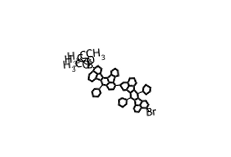 CC1(C)OB(c2ccc3c4c2cccc4c2c(-c4ccccc4)c4ccc(-c5cc6cccc7c8c(-c9ccccc9)c9c%10ccc(Br)c%11cccc(c9c(-c9ccccc9)c8c(c5)c67)c%11%10)c5c6ccccc6c(c45)c32)OC1(C)C